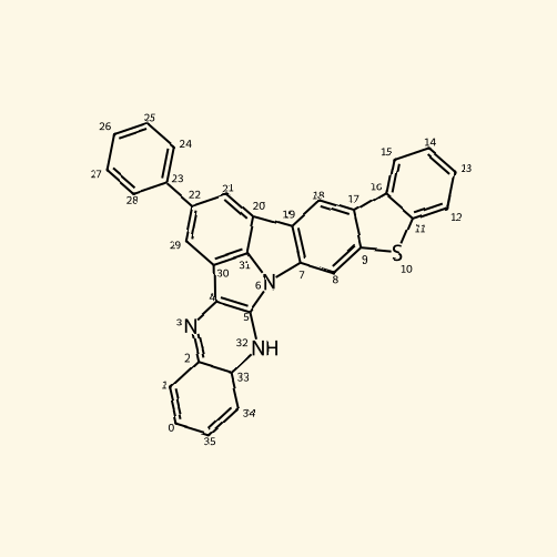 C1=CC2=Nc3c(n4c5cc6sc7ccccc7c6cc5c5cc(-c6ccccc6)cc3c54)NC2C=C1